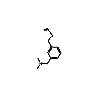 CC[CH]SCc1cccc(CN(C)C)c1